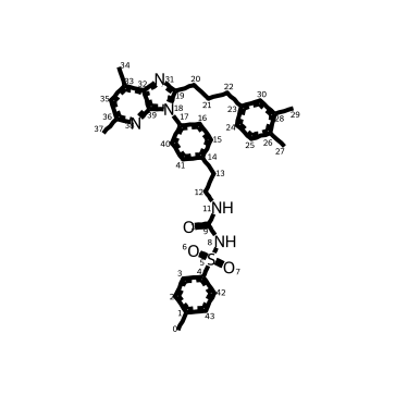 Cc1ccc(S(=O)(=O)NC(=O)NCCc2ccc(-n3c(CCCc4ccc(C)c(C)c4)nc4c(C)cc(C)nc43)cc2)cc1